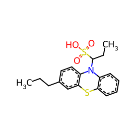 CCCc1ccc2c(c1)Sc1ccccc1N2C(CC)S(=O)(=O)O